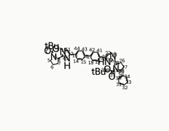 CC(C)(C)OC(=O)N1CCCC1c1ncc(-c2ccc(-c3ccc(-c4cnc([C@@H]5CC[C@H](c6ccccc6)N5C(=O)OC(C)(C)C)[nH]4)cc3)cc2)[nH]1